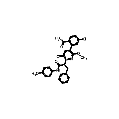 COc1nn(C(Cc2ccccc2)C(=O)Nc2ccc(C)cc2)c(=O)cc1-c1cc(Cl)ccc1C(C)=O